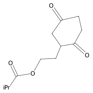 CC(C)C(=O)OCCC1CC(=O)CCC1=O